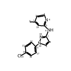 Cc1ccnc(Nc2ccn(-c3ccc(Cl)cc3)n2)c1